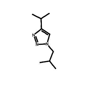 CC(C)Cn1cc(C(C)C)nn1